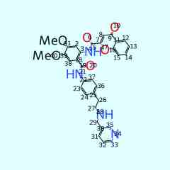 COc1cc(NC(=O)c2cc(=O)c3ccccc3o2)c(C(=O)Nc2ccc(CCNCc3cccnc3)cc2)cc1OC